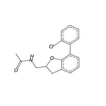 CC(=O)NCC1Cc2cccc(-c3ccccc3Cl)c2O1